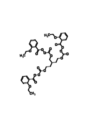 CCOc1ccccc1C(=O)OOC(=O)OCCC(CCOC(=O)OOC(=O)c1ccccc1OCC)COC(=O)OOC(=O)c1ccccc1OCC